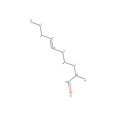 CCC/C=C/CCCC(C)[C]=O